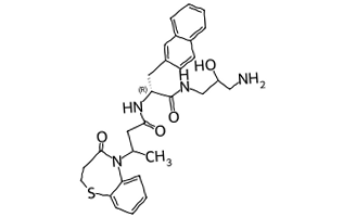 CC(CC(=O)N[C@H](Cc1ccc2ccccc2c1)C(=O)NCC(O)CN)N1C(=O)CCSc2ccccc21